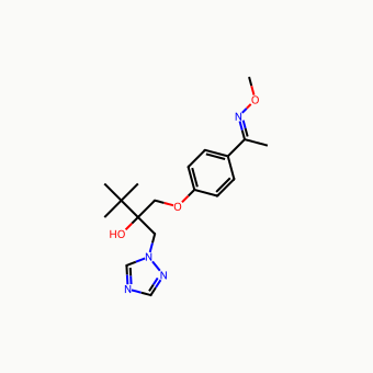 CON=C(C)c1ccc(OCC(O)(Cn2cncn2)C(C)(C)C)cc1